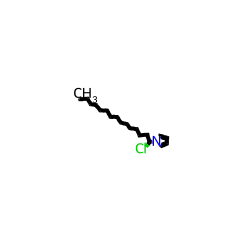 CCCCCCCCCCCCCCCC(Cl)n1cccc1